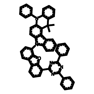 CC1(C)c2ccccc2N(c2ccccc2)c2ccc3c(c21)c1ccccc1n3-c1cccc2c1oc1c(-c3nc(-c4ccccc4)nc(-c4ccccc4)n3)cccc12